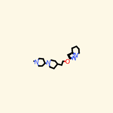 CN1CCC(N2CCC(CCOc3cc4n(n3)CCCC4)CC2)CC1